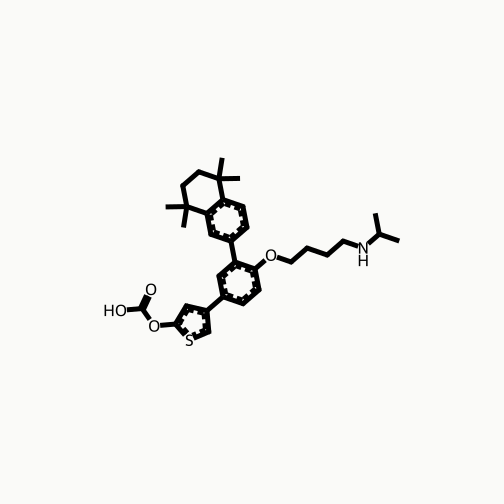 CC(C)NCCCCOc1ccc(-c2csc(OC(=O)O)c2)cc1-c1ccc2c(c1)C(C)(C)CCC2(C)C